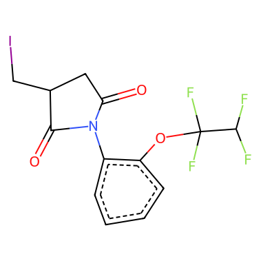 O=C1CC(CI)C(=O)N1c1ccccc1OC(F)(F)C(F)F